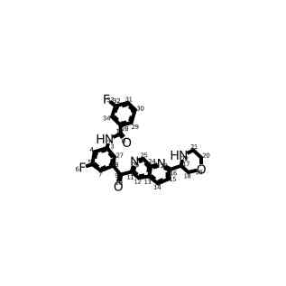 O=C(Nc1cc(F)cc(C(=O)c2cc3ccc(C4COCCN4)nc3cn2)c1)c1cccc(F)c1